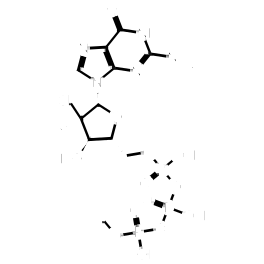 C[C@@]1(Cl)[C@H](O)[C@@H](COP(=O)(O)OP(=O)(O)OP(=O)(O)OI)O[C@H]1n1cnc2c(=O)[nH]c(N)nc21